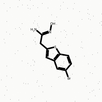 NC(Cc1cc2cc(Br)ccc2s1)=NO